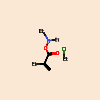 C=C(CC)C(=O)ON(CC)CC.CCCl